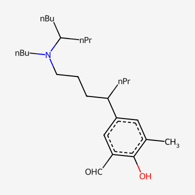 CCCCC(CCC)N(CCCC)CCCC(CCC)c1cc(C)c(O)c(C=O)c1